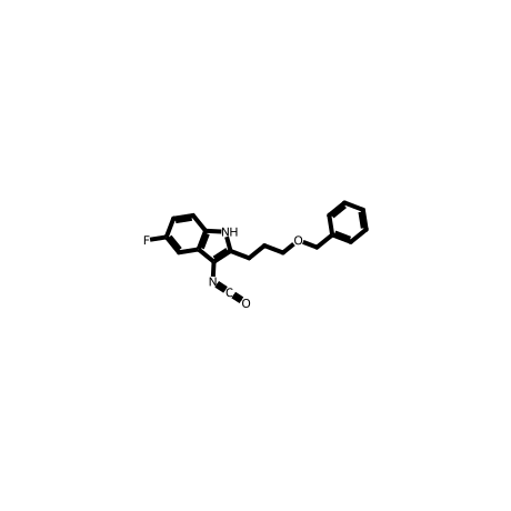 O=C=Nc1c(CCCOCc2ccccc2)[nH]c2ccc(F)cc12